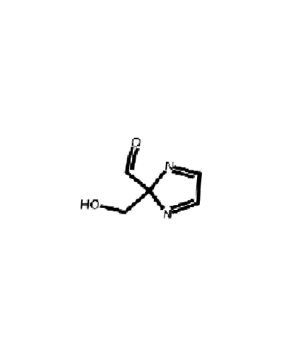 O=CC1(CO)N=CC=N1